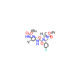 CC(C)OC(=O)N1CC(c2ccc(F)cc2)N(C(=O)C(=O)Nc2cnc(NC(=O)OC(C)(C)C)c(C3CC3)c2)CC1C